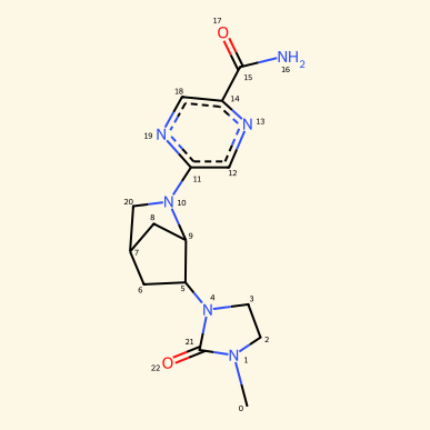 CN1CCN(C2CC3CC2N(c2cnc(C(N)=O)cn2)C3)C1=O